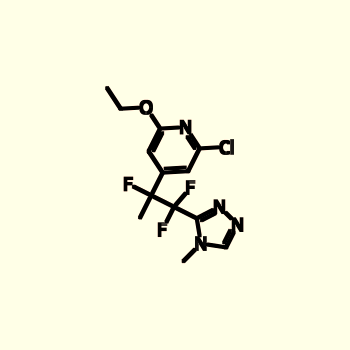 CCOc1cc(C(C)(F)C(F)(F)c2nncn2C)cc(Cl)n1